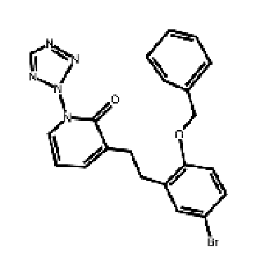 O=c1c(CCc2cc(Br)ccc2OCc2ccccc2)cccn1-n1ncnn1